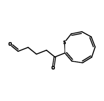 O=CCCCC(=O)c1cccccccs1